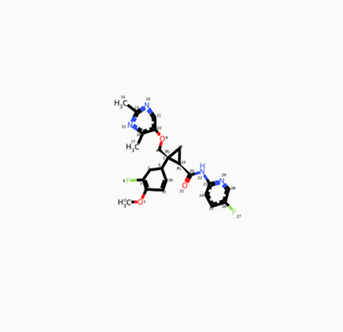 COC1=C(F)CC([C@]2(COc3cnc(C)nc3C)C[C@H]2C(=O)Nc2ccc(F)cn2)C=C1